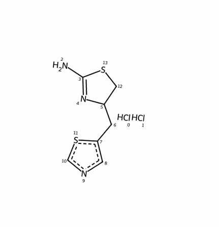 Cl.Cl.NC1=NC(Cc2cncs2)CS1